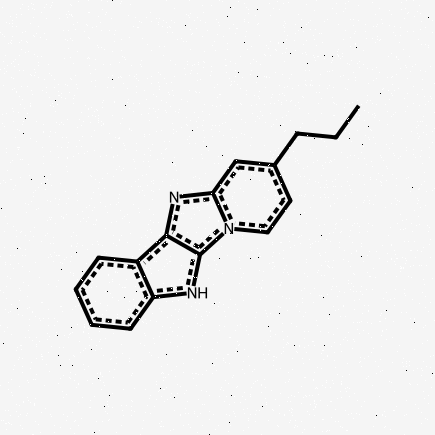 CCCc1ccn2c(c1)nc1c3ccccc3[nH]c12